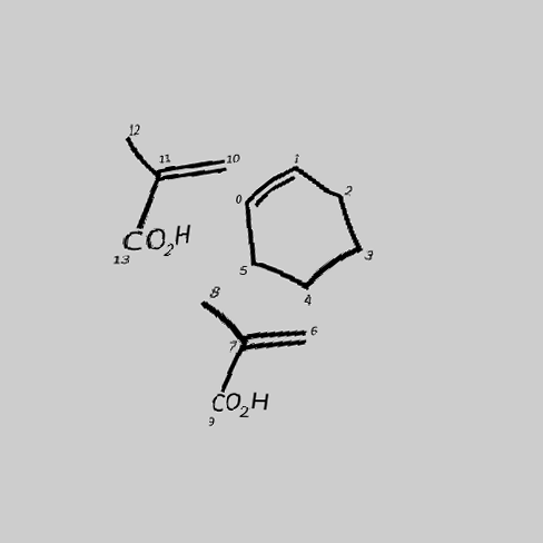 C1=CCCCC1.C=C(C)C(=O)O.C=C(C)C(=O)O